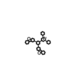 c1ccc(-c2cc(-c3cc(-c4ccc5oc6ccccc6c5c4)cc(-c4ccc5oc6ccccc6c5c4)c3)cc(-c3ccccc3)n2)cc1